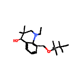 CCN1CC(C)(C)C(O)c2cccc(CO[Si](C)(C)C(C)(C)C)c21